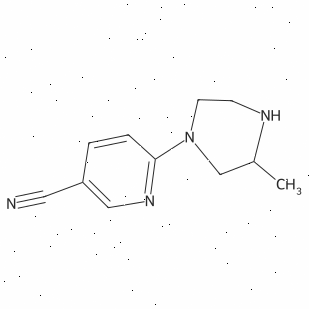 CC1CN(c2ccc(C#N)cn2)CCN1